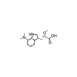 CO[C@@H](Cc1c[nH]c2c(N(C)C)cccc12)C(=O)O